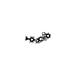 O=S(=O)(c1ccccc1Cl)N1CCC2(CCN(c3ccc(C4CC4)cc3)C2)CC1